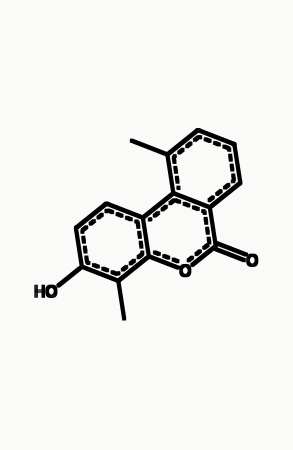 Cc1c(O)ccc2c1oc(=O)c1cccc(C)c12